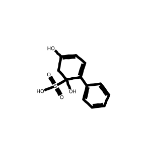 O=S(=O)(O)C1(O)CC(O)=CC=C1c1ccccc1